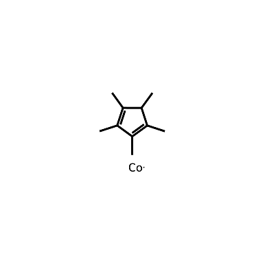 CC1=C(C)C(C)C(C)=C1C.[Co]